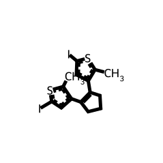 Cc1sc(I)cc1C1=C(c2cc(I)sc2C)CCC1